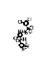 O=C(Nc1cc(NC(=O)[C@H]2[C@H](c3cc(Cl)cc(Cl)c3)C2(Cl)Cl)ccc1Cl)c1ccc(F)c(C(F)(F)F)c1